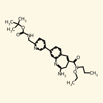 CCCN(OCC)C(=O)C1=Cc2ccc(-c3ccc(CNC(=O)OC(C)(C)C)nc3)cc2N=C(N)C1